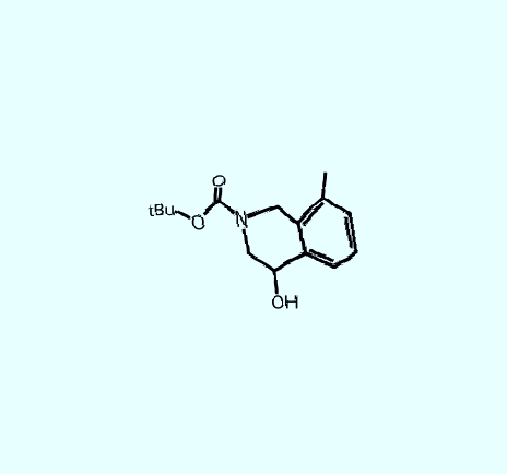 Cc1cccc2c1CN(C(=O)OC(C)(C)C)CC2O